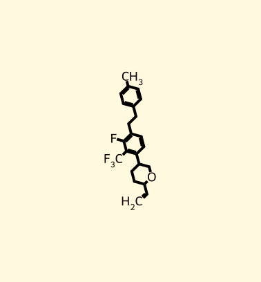 C=CC1CCC(c2ccc(CCc3ccc(C)cc3)c(F)c2C(F)(F)F)CO1